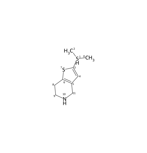 C[SH](C)c1cc2c(s1)CCNC2